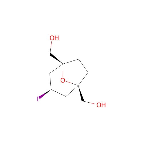 OC[C@]12CC[C@](CO)(C[C@@H](I)C1)O2